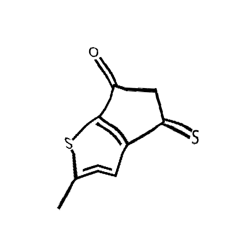 Cc1cc2c(s1)C(=O)CC2=S